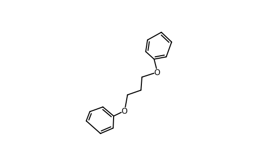 c1ccc(OCCCOc2ccccc2)cc1